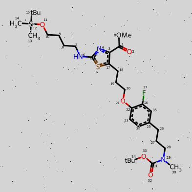 COC(=O)c1nc(NCCCCO[Si](C)(C)C(C)(C)C)sc1CCCOc1ccc(CCCN(C)C(=O)OC(C)(C)C)cc1F